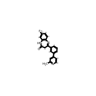 Cc1cc(-c2cccc(C3=Nc4ccc(F)cc4NC(=O)C3)c2)ccn1